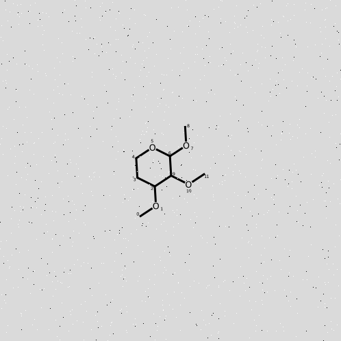 COC1CCOC(OC)C1OC